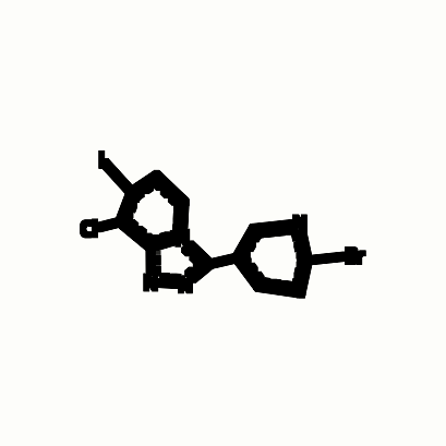 Clc1c(I)ccn2c(-c3ccc(Br)nc3)nnc12